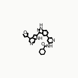 O=C(Nc1cncc(-c2ccc3[nH]nc(-c4cc5c(-c6ccoc6)cncc5[nH]4)c3c2)c1)C1CCCCC1